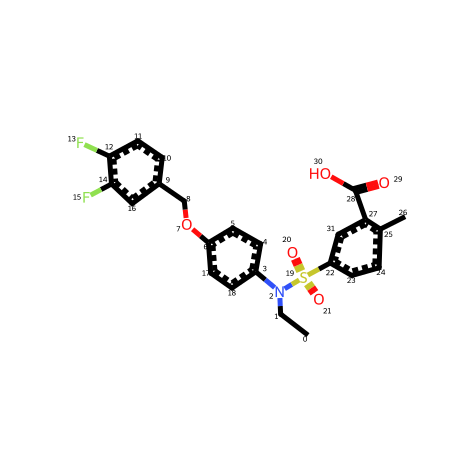 CCN(c1ccc(OCc2ccc(F)c(F)c2)cc1)S(=O)(=O)c1ccc(C)c(C(=O)O)c1